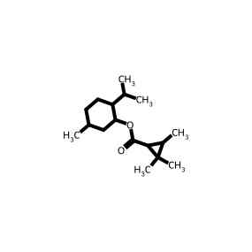 CC1CCC(C(C)C)C(OC(=O)C2C(C)C2(C)C)C1